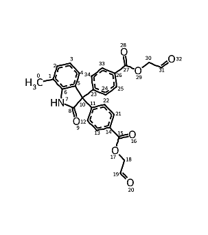 Cc1cccc2c1NC(=O)C2(c1ccc(C(=O)OCC=O)cc1)c1ccc(C(=O)OCC=O)cc1